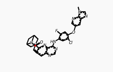 C=CC(=O)N1C2CC1CN(c1ccc3ncnc(Nc4cc(Cl)c(Oc5cnc6c(c5)ncn6C)cc4F)c3n1)C2